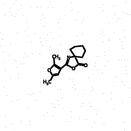 Cc1cc(C2=NC3(CCCCC3)C(=O)O2)c(C)o1